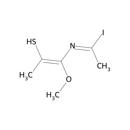 COC(/N=C(\C)I)=C(\C)S